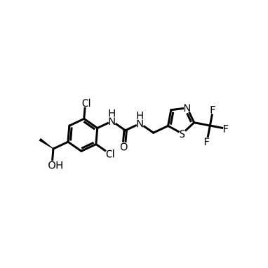 C[C@H](O)c1cc(Cl)c(NC(=O)NCc2cnc(C(F)(F)F)s2)c(Cl)c1